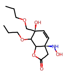 CCCOC[C@]1(O)C=C[C@]2(NO)CC(=O)OC2C1OCCC